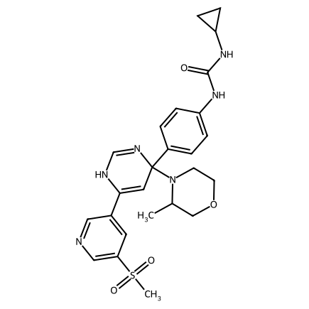 CC1COCCN1C1(c2ccc(NC(=O)NC3CC3)cc2)C=C(c2cncc(S(C)(=O)=O)c2)NC=N1